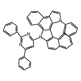 c1ccc(-c2cc(-n3c4ccc5ccccc5c4c4c5c(ccn5-c5ccccc5)c5ccccc5c43)nc(-c3ccccc3)n2)cc1